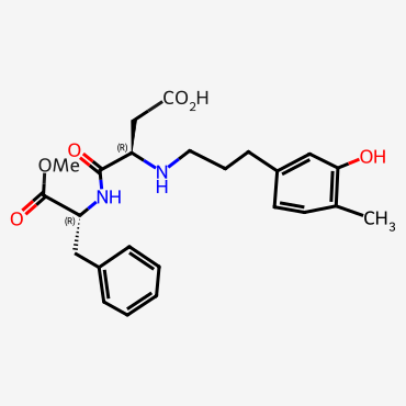 COC(=O)[C@@H](Cc1ccccc1)NC(=O)[C@@H](CC(=O)O)NCCCc1ccc(C)c(O)c1